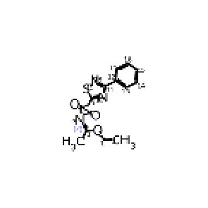 CCO/C(C)=N\S(=O)(=O)c1nc(-c2ccccc2)ns1